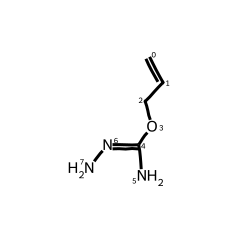 C=CCOC(N)=NN